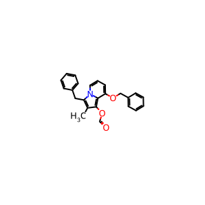 Cc1c(OC=O)c2c(OCc3ccccc3)cccn2c1Cc1ccccc1